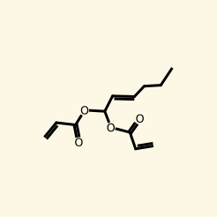 C=CC(=O)OC(C=CCCC)OC(=O)C=C